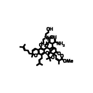 C=C(N)C(/C(N)=N\O)C1C2CC3C(C)(C)OC(C/C=C(/C)C(=O)OC)(C2=O)C32Oc3c(CC=C(C)C)c4c(c(OCCNCCO)c3C(=O)C12)C=CC(C)(CCC=C(C)C)O4